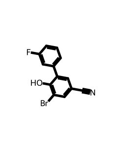 N#Cc1cc(Br)c(O)c(-c2cccc(F)c2)c1